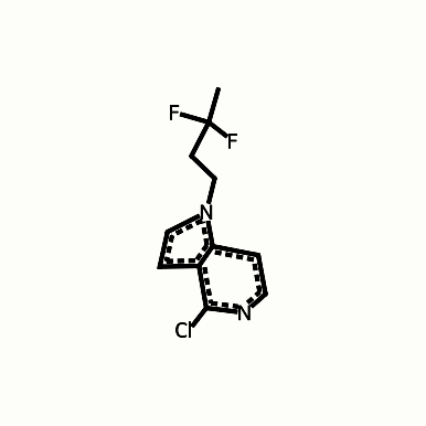 CC(F)(F)CCn1ccc2c(Cl)nccc21